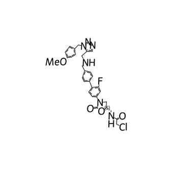 COc1ccc(Cn2nncc2CNCc2ccc(-c3ccc(N4C[C@H](CNC(=O)CCl)OC4=O)cc3F)cc2)cc1